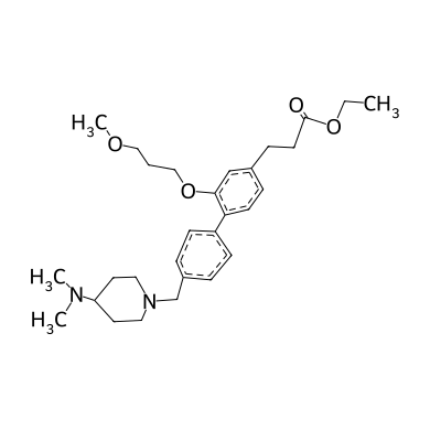 CCOC(=O)CCc1ccc(-c2ccc(CN3CCC(N(C)C)CC3)cc2)c(OCCCOC)c1